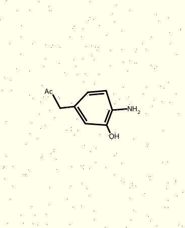 CC(=O)Cc1ccc(N)c(O)c1